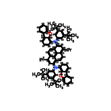 CC(C)c1cc(N(c2cc([Si](C)(C)C)cc([Si](C)(C)C)c2)c2cccc3c2oc2ccccc23)c2ccc3c(C(C)C)cc(N(c4cc([Si](C)(C)C)cc([Si](C)(C)C)c4)c4cccc5c4oc4ccccc45)c4ccc1c2c34